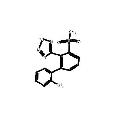 Cc1ccccc1-c1cccc(S(C)(=O)=O)c1-c1nn[nH]n1